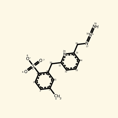 Cc1ccc(S(=O)(=O)[O-])c(Cc2cccc(CN=[N+]=N)n2)c1